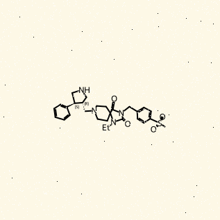 CCN1C(=O)N(Cc2ccc(S(C)(=O)=O)cc2)C(=O)C12CCN(C[C@H]1CNC[C@@H]1c1ccccc1)CC2